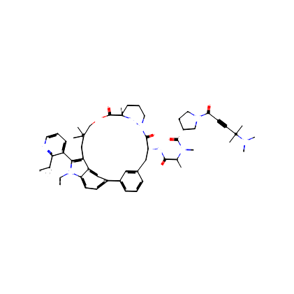 CO[C@@H](C)c1ncccc1-c1c2c3cc(ccc3n1CC(F)(F)F)-c1cccc(c1)C[C@H](NC(=O)C(C(C)C)N(C)C(=O)[C@H]1CCN(C(=O)C#CC(C)(C)N(C)C)C1)C(=O)N1CCC[C@H](N1)C(=O)OCC(C)(C)C2